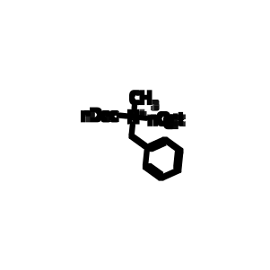 CCCCCCCCCC[N+](C)(CCCCCCCC)Cc1ccccc1.[Cl-]